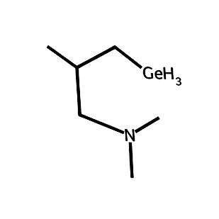 CC([CH2][GeH3])CN(C)C